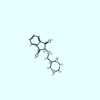 O=C1c2ccccc2C(=O)N1OCC1COCCO1